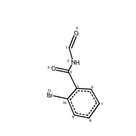 O=CNC(=O)c1ccccc1Br